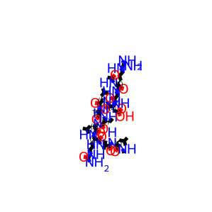 CC[C@H](NC(=O)[C@H](C)NC(=O)[C@H](CC(C)C)NC(=O)[C@H](CC(=O)O)NC(=O)CNC(=O)[C@H](CCCNC(=N)N)NC(C)=O)C(=O)N[C@@H](CC(C)C)C(=O)N[C@@H](CCCNC(N)=O)C(=O)NC(C)(C)C(=O)N[C@@H](CC(C)C)C(=O)NC